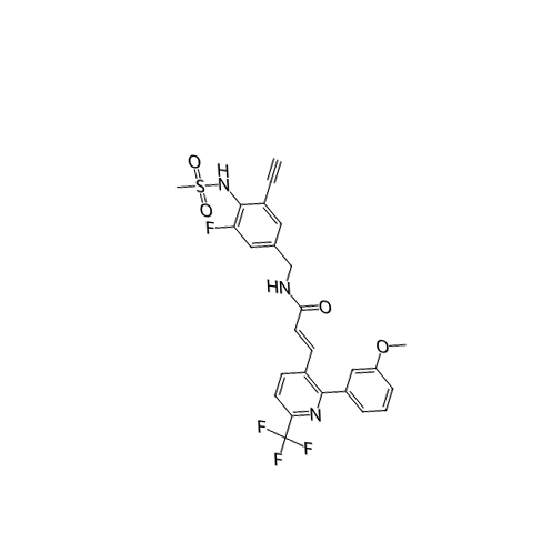 C#Cc1cc(CNC(=O)/C=C/c2ccc(C(F)(F)F)nc2-c2cccc(OC)c2)cc(F)c1NS(C)(=O)=O